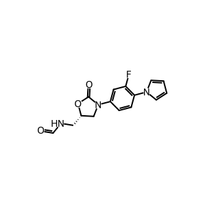 O=CNC[C@H]1CN(c2ccc(-n3cccc3)c(F)c2)C(=O)O1